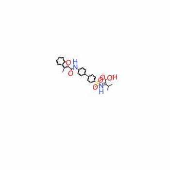 Cc1c(C(=O)Nc2ccc(-c3ccc(S(=O)(=O)N[C@H](C(=O)O)C(C)C)cc3)cc2)oc2ccccc12